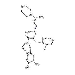 Cc1cc2cc(C(=O)N(C/C(N)=C/C=C(\N)N3CCOCC3)Cc3ncccc3F)ccc2nc1N